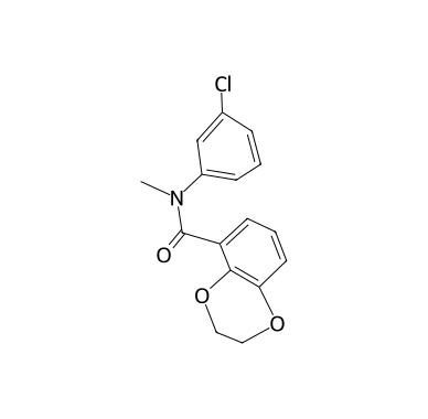 CN(C(=O)c1cccc2c1OCCO2)c1cccc(Cl)c1